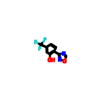 Oc1cc(C(F)(F)F)ccc1-c1ncon1